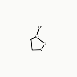 [O-][N+]1CCSO1